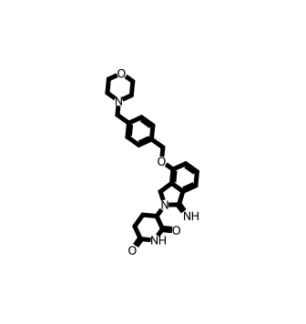 N=C1c2cccc(OCc3ccc(CN4CCOCC4)cc3)c2CN1C1CCC(=O)NC1=O